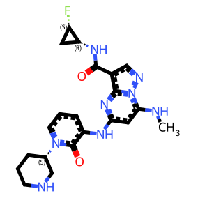 CNc1cc(Nc2cccn([C@H]3CCCNC3)c2=O)nc2c(C(=O)N[C@@H]3C[C@@H]3F)cnn12